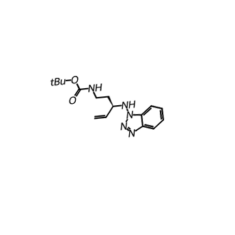 C=C[C@@H](CCNC(=O)OC(C)(C)C)Nn1nnc2ccccc21